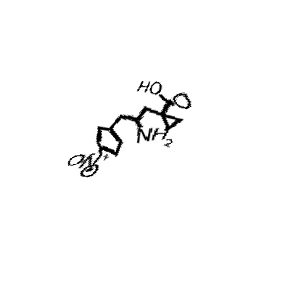 NC(Cc1ccc([N+](=O)[O-])cc1)CC1(C(=O)O)CC1